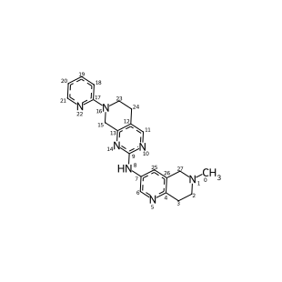 CN1CCc2ncc(Nc3ncc4c(n3)CN(c3ccccn3)CC4)cc2C1